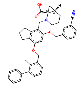 Cc1c(COc2cc(OCc3cccc(C#N)c3)c(CN3CCC[C@H]4C[C@]43C(=O)O)c3c2CCC3)cccc1-c1ccccc1